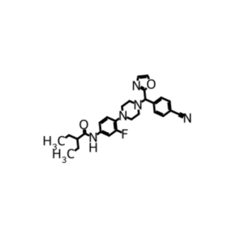 CCC(CC)C(=O)Nc1ccc(N2CCN(C(c3ccc(C#N)cc3)c3ncco3)CC2)c(F)c1